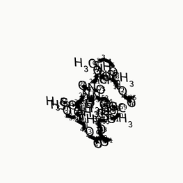 C[SiH]1CCCCO[Si](C)(CCCOCC2CO2)O[Si](C)(CCCn2c(=O)n(CCC[Si]3(C)O[SiH](C)OCC[Si](C)(CCCOCC4CO4)O3)c(=O)n(CCC[Si]3(C)O[SiH](C)CCO[Si](C)(CCCOCC4CO4)O3)c2=O)O1